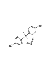 CC(C)(c1ccc(O)cc1)c1ccc(O)cc1.O=S=O